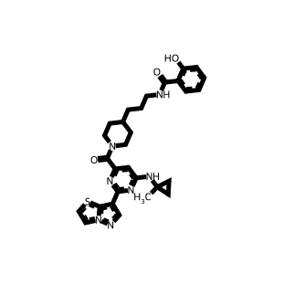 CC1(Nc2cc(C(=O)N3CCC(CCCNC(=O)c4ccccc4O)CC3)nc(-c3cnn4ccsc34)n2)CC1